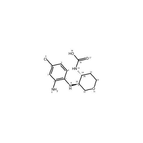 Nc1cc(Cl)ccc1N[C@@H]1COCC[C@H]1NC(=O)O